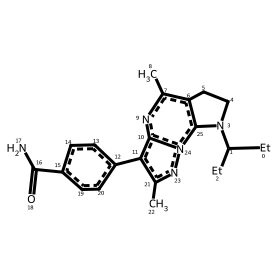 CCC(CC)N1CCc2c(C)nc3c(-c4ccc(C(N)=O)cc4)c(C)nn3c21